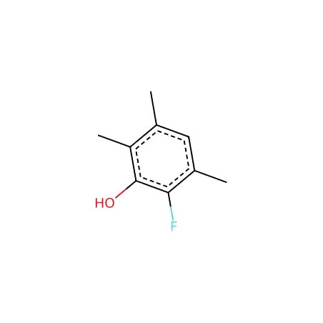 Cc1cc(C)c(F)c(O)c1C